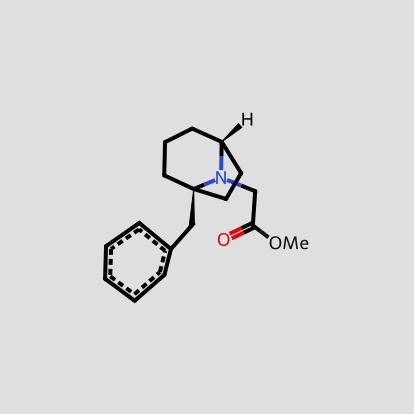 COC(=O)CN1[C@@H]2CCC[C@@]1(Cc1ccccc1)CC2